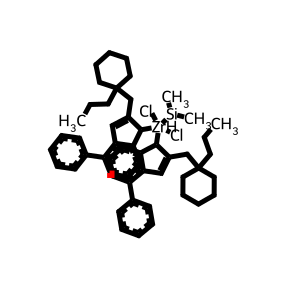 CCCC1(CC2=Cc3c(-c4ccccc4)cccc3[CH]2[Zr]([Cl])([Cl])([CH]2C(CC3(CCC)CCCCC3)=Cc3c(-c4ccccc4)cccc32)[SiH](C)C)CCCCC1